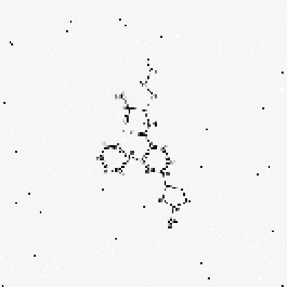 CSCC[C@H](NC(=O)c1ccc(N2CCC(O)C2)cc1-c1ccccc1)C(=O)O